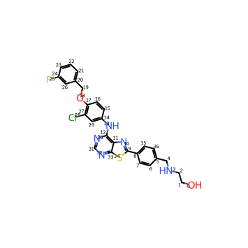 OCCNCc1ccc(-c2nc3c(Nc4ccc(OCc5cccc(F)c5)c(Cl)c4)ncnc3s2)cc1